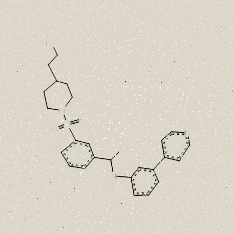 O=S(=O)(c1cccc(C(O)Nc2cccc(-c3ccncc3)c2)c1)N1CCC(CCO)CC1